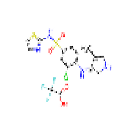 C[C@H]1CNC[C@@H]1Nc1ccc(S(=O)(=O)Nc2nccs2)cc1Cl.O=C(O)C(F)(F)F